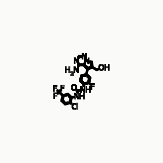 Nc1ncnn2cc(CO)c(-c3ccc(NC(=O)Nc4cc(C(F)(F)F)ccc4Cl)c(F)c3)c12